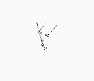 CCCCCCCCCCCOC(=O)CCCCCN(CCCCCCCC(=O)OC(CCCCCCCC)CCCCCCCC)CCOC(=O)CC1CCN(C)C1